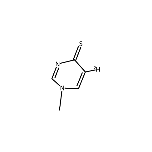 [2H]c1cn(C)cnc1=S